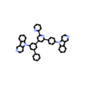 c1ccc(-c2cc(-c3cc(-c4ccc(-n5c6ccccc6c6cnccc65)cc4)nc(-c4ccccn4)c3)cc(-n3c4ccccc4c4cnccc43)c2)cc1